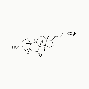 C[C@]12CC[C@@H](O)C[C@H]1CC(=O)[C@@H]1[C@@H]2CC[C@]2(C)[C@@H](CCCC(=O)O)CC[C@@H]12